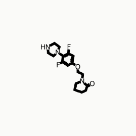 O=C1CCCCN1CCOc1cc(F)c(N2CCNCC2)c(F)c1